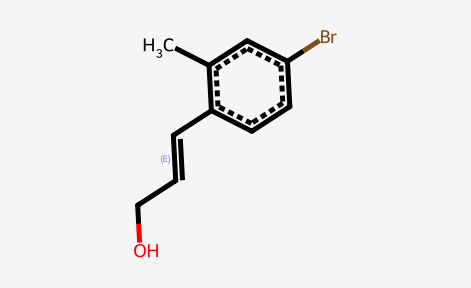 Cc1cc(Br)ccc1/C=C/CO